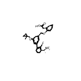 C[C@@H](N)c1cccc(-c2cc(COc3ccccc3CC(=O)O)cc(OCC3(C)CC3)c2)c1F